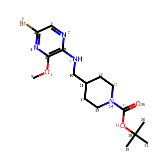 COc1nc(Br)cnc1NCC1CCN(C(=O)OC(C)(C)C)CC1